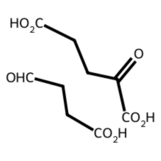 O=C(O)CCC(=O)C(=O)O.O=CCCC(=O)O